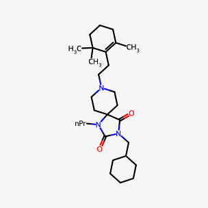 CCCN1C(=O)N(CC2CCCCC2)C(=O)C12CCN(CCC1=C(C)CCCC1(C)C)CC2